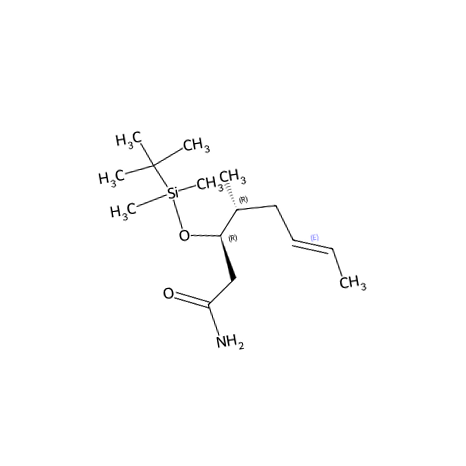 C/C=C/C[C@@H](C)[C@@H](CC(N)=O)O[Si](C)(C)C(C)(C)C